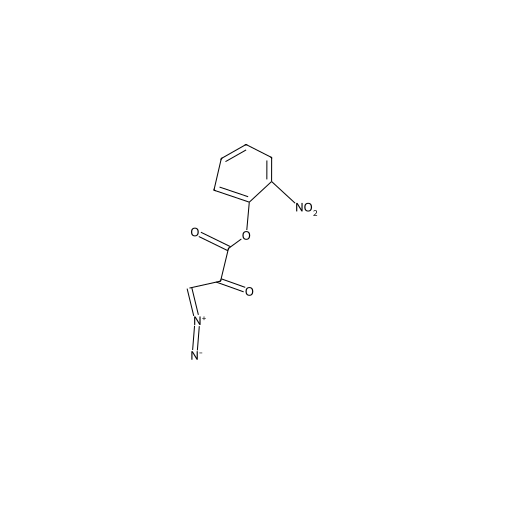 [N-]=[N+]=CC(=O)C(=O)Oc1ccccc1[N+](=O)[O-]